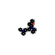 c1ccc(-n2c3ccccc3c3cc(-c4ccc5c(c4)c4c6cccc7c6c(cc4n5-c4cccc5ccccc45)Oc4ccccc4-7)ccc32)cc1